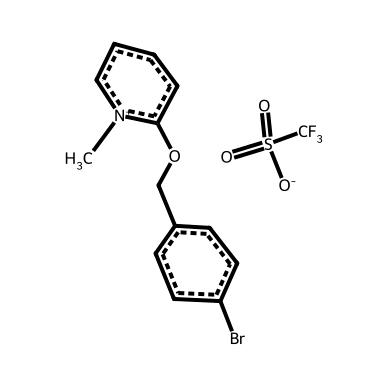 C[n+]1ccccc1OCc1ccc(Br)cc1.O=S(=O)([O-])C(F)(F)F